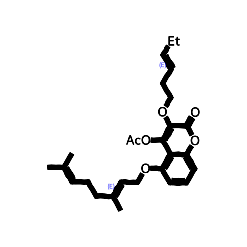 CC/C=C/CCOc1c(OC(C)=O)c2c(OC/C=C(\C)CCC=C(C)C)cccc2oc1=O